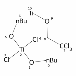 CCCC[O][Ti]([Cl])([Cl])[O]CCCC.ClC(Cl)(Cl)C[O][Ti]